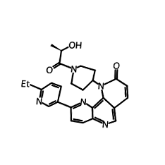 CCc1ccc(-c2ccc3ncc4ccc(=O)n(C5CCN(C(=O)[C@@H](C)O)CC5)c4c3n2)cn1